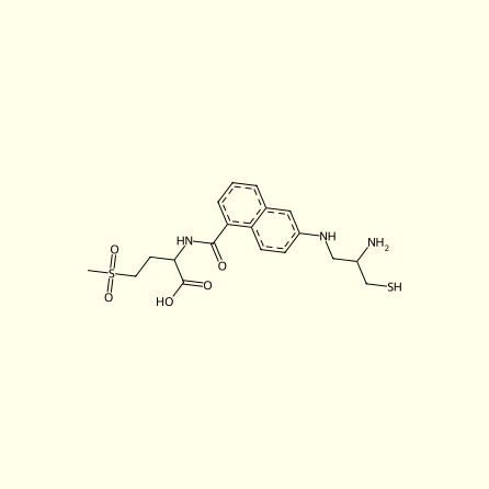 CS(=O)(=O)CCC(NC(=O)c1cccc2cc(NCC(N)CS)ccc12)C(=O)O